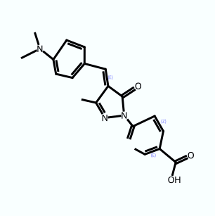 C=C(/C=C\C(=C/C)C(=O)O)N1N=C(C)/C(=C\c2ccc(N(C)C)cc2)C1=O